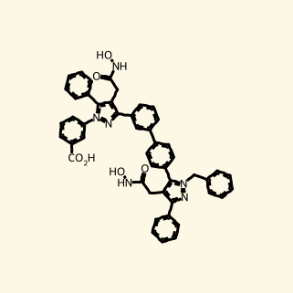 O=C(Cc1c(-c2ccccc2)nn(Cc2ccccc2)c1-c1ccc(-c2cccc(-c3nn(-c4cccc(C(=O)O)c4)c(-c4ccccc4)c3CC(=O)NO)c2)cc1)NO